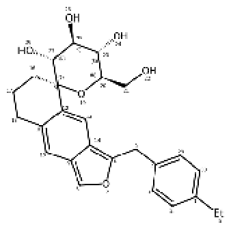 CCc1ccc(Cc2occ3cc4c(cc23)[C@]2(CCC4)O[C@H](CO)[C@@H](O)[C@H](O)[C@H]2O)cc1